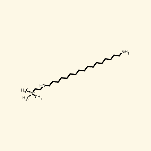 C[N+](C)(C)CCNCCCCCCCCCCCCCCCCC[SiH3]